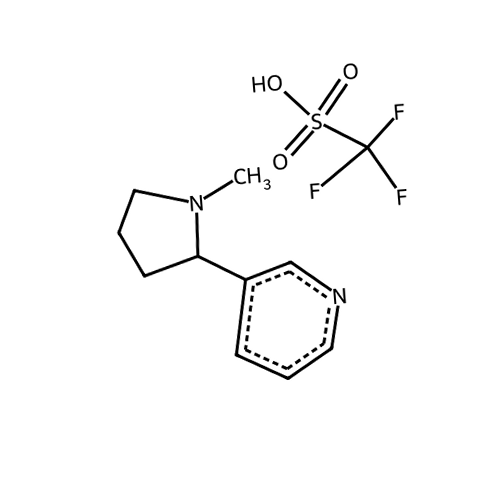 CN1CCCC1c1cccnc1.O=S(=O)(O)C(F)(F)F